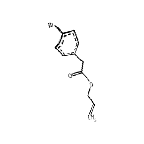 C=CCOC(=O)Cc1ccc(Br)cc1